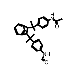 CC(=O)Nc1ccc(C(C)(C)C2c3cccc(c3)C2C(C)(C)c2ccc(NC=O)cc2)cc1